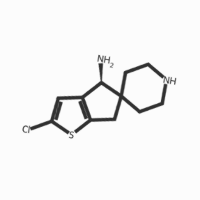 N[C@@H]1c2cc(Cl)sc2CC12CCNCC2